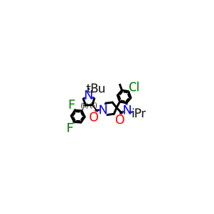 Cc1cc2c(cc1Cl)N(C(C)C)C(=O)C21CCN(C(=O)[C@@H]2CN(C(C)(C)C)C[C@H]2c2ccc(F)cc2F)CC1